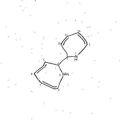 C1=CN[C](C2C=CC=CN2)C=C1